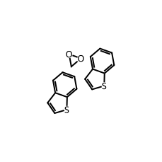 C1OO1.c1ccc2sccc2c1.c1ccc2sccc2c1